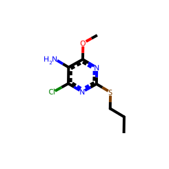 CCCSc1nc(Cl)c(N)c(OC)n1